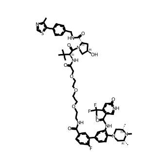 Cc1ncsc1-c1ccc(CNC(=O)[C@@H]2C[C@@H](O)CN2C(=O)[C@@H](NC(=O)COCCOCCOCCNC(=O)c2ccc(F)c(-c3ccc(N4C[C@@H](C)N(C)[C@@H](C)C4)c(NC(=O)c4c[nH]c(=O)cc4C(F)(F)F)c3)c2)C(C)(C)C)cc1